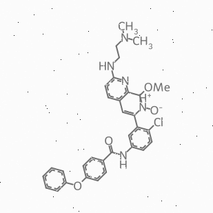 COC1c2nc(NCCN(C)C)ccc2C=C(c2cc(NC(=O)c3ccc(Oc4ccccc4)cc3)ccc2Cl)[NH+]1[O-]